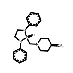 C=C1CCN(CP2(=O)N(c3ccccc3)CCN2c2ccccc2)CC1